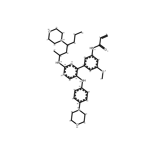 C=CC(=O)Nc1cc(OC)cc(-c2nc(NC(C)CC(CCC)N3CCOCC3)ncc2Nc2ccc(N3CCOCC3)cc2)c1